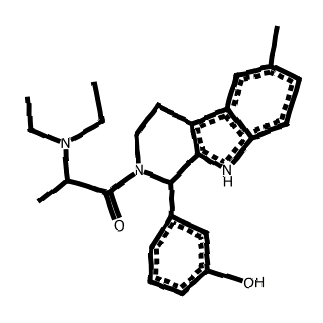 CCN(CC)C(C)C(=O)N1CCc2c([nH]c3ccc(C)cc23)C1c1cccc(O)c1